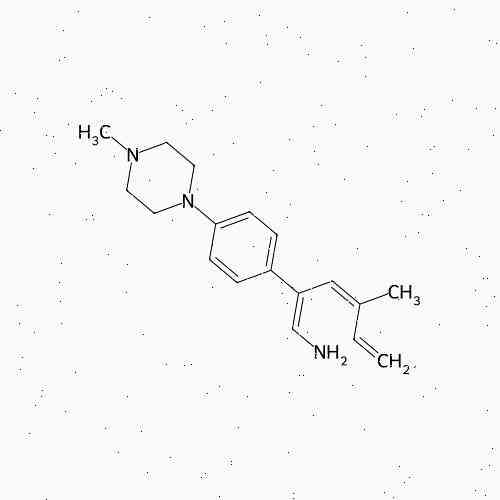 C=C/C(C)=C\C(=C/N)c1ccc(N2CCN(C)CC2)cc1